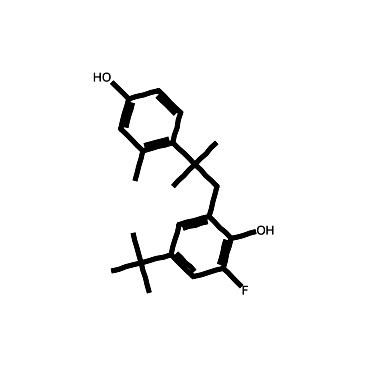 Cc1cc(O)ccc1C(C)(C)Cc1cc(C(C)(C)C)cc(F)c1O